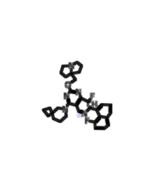 C=C(/N=C\c1c(CF)nc(OCC23CCCN2CCC3)nc1N1CCCC2(CCC2)C1)c1cccc2cccc(F)c12